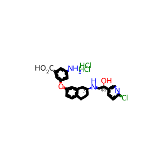 Cl.Cl.Nc1cc(Oc2ccc3c(c2)C[C@@H](NC[C@H](O)c2ccc(Cl)nc2)CC3)cc(C(=O)O)c1